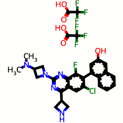 CN(C)C1CN(c2nc(C3CNC3)c3cc(Cl)c(-c4cc(O)cc5ccccc45)c(F)c3n2)C1.O=C(O)C(F)(F)F.O=C(O)C(F)(F)F